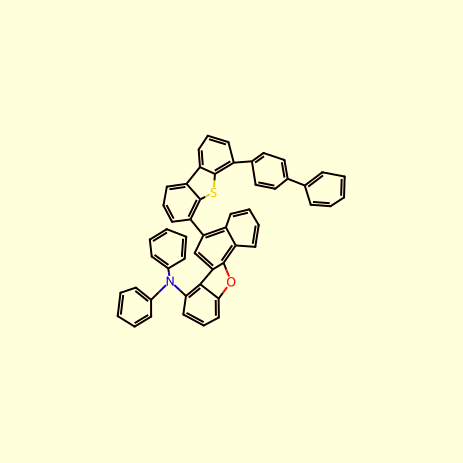 c1ccc(-c2ccc(-c3cccc4c3sc3c(-c5cc6c(oc7cccc(N(c8ccccc8)c8ccccc8)c76)c6ccccc56)cccc34)cc2)cc1